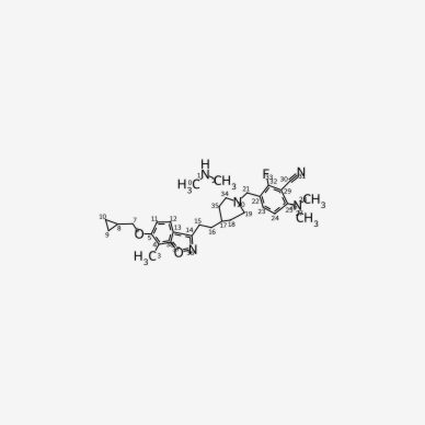 CNC.Cc1c(OCC2CC2)ccc2c(CCC3CCN(Cc4ccc(N(C)C)c(C#N)c4F)CC3)noc12